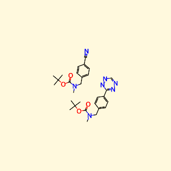 CN(Cc1ccc(-c2nncnn2)cc1)C(=O)OC(C)(C)C.CN(Cc1ccc(C#N)cc1)C(=O)OC(C)(C)C